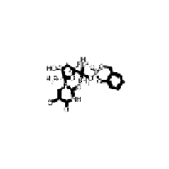 BC(B)(OP1(=O)OCc2ccccc2O1)[C@]1(F)C[C@@H](O)[C@](B)(n2cc(Cl)c(=O)[nH]c2=O)O1